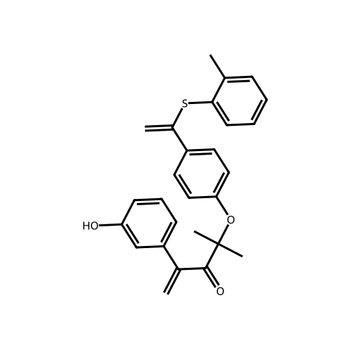 C=C(Sc1ccccc1C)c1ccc(OC(C)(C)C(=O)C(=C)c2cccc(O)c2)cc1